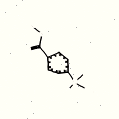 C[N+](C)(C)c1ccc(C(=O)NN)cc1.[I-]